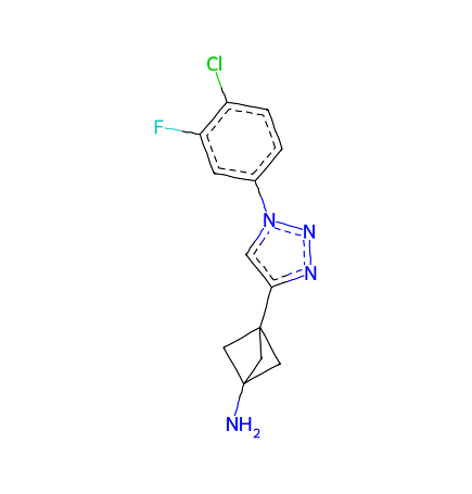 NC12CC(c3cn(-c4ccc(Cl)c(F)c4)nn3)(C1)C2